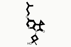 CC(C)CCOc1cnc2c(c1)C1(CC1)C(=O)N2[C@H]1C[C@@](C)(O)C1